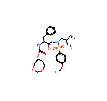 COc1ccc(S(=O)(=O)N(CC(C)C)C[C@@H](O)[C@H](Cc2ccccc2)NC(=O)O[C@H]2CCOCOC2)cc1